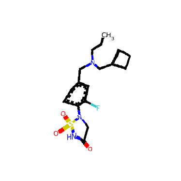 CCCN(Cc1ccc(N2CC(=O)NS2(=O)=O)c(F)c1)CC1CCC1